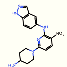 NC1CCN(c2ccc([N+](=O)[O-])c(Nc3ccc4[nH]ncc4c3)n2)CC1